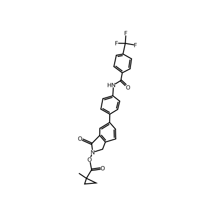 CC1(C(=O)ON2Cc3ccc(-c4ccc(NC(=O)c5ccc(C(F)(F)F)cc5)cc4)cc3C2=O)CC1